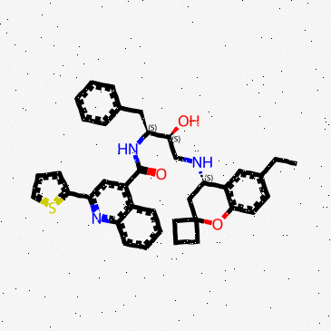 CCc1ccc2c(c1)[C@@H](NC[C@H](O)[C@H](Cc1ccccc1)NC(=O)c1cc(-c3cccs3)nc3ccccc13)CC1(CCC1)O2